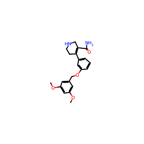 COc1cc(COc2cccc(C3=C(C(N)=O)CNCC3)c2)cc(OC)c1